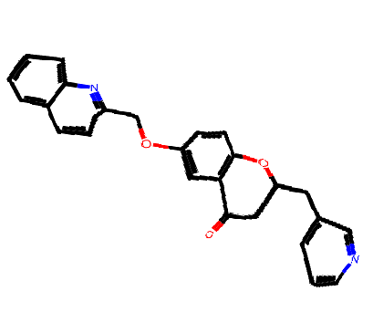 O=C1CC(Cc2cccnc2)Oc2ccc(OCc3ccc4ccccc4n3)cc21